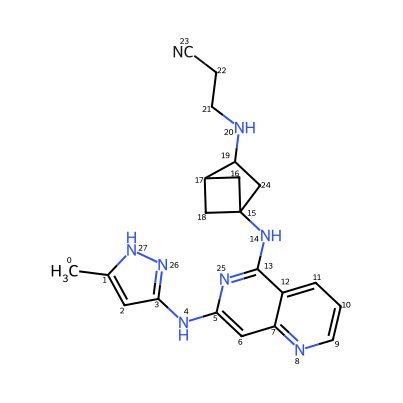 Cc1cc(Nc2cc3ncccc3c(NC34CC(C3)C(NCCC#N)C4)n2)n[nH]1